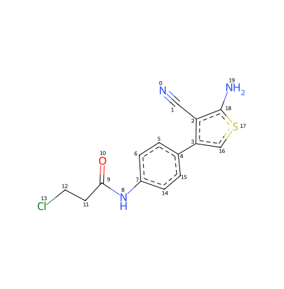 N#Cc1c(-c2ccc(NC(=O)CCCl)cc2)csc1N